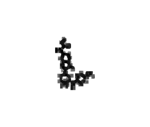 C=CC(=O)Nc1ccc2c(c1)nc(N1CCC(F)(F)[C@@H](Nc3ncc(C(F)(F)F)cn3)C1)n2C